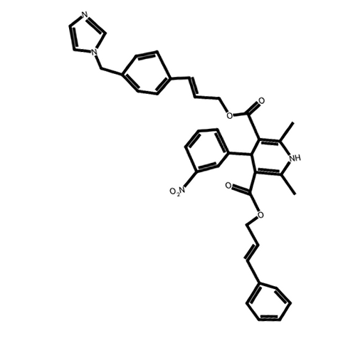 CC1=C(C(=O)OCC=Cc2ccccc2)C(c2cccc([N+](=O)[O-])c2)C(C(=O)OCC=Cc2ccc(Cn3ccnc3)cc2)=C(C)N1